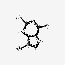 CC(C)c1nc(N)nc2c1ncn2N